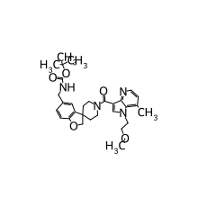 COCCn1cc(C(=O)N2CCC3(CC2)COc2ccc(CNC(=O)OC(C)(C)C)cc23)c2nccc(C)c21